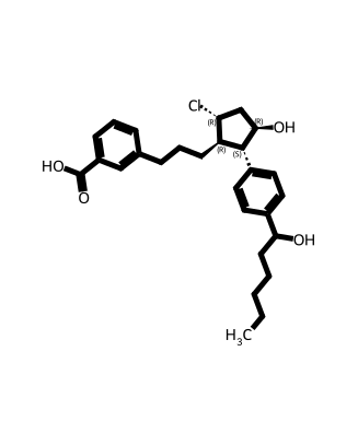 CCCCCC(O)c1ccc([C@@H]2[C@@H](CCCc3cccc(C(=O)O)c3)[C@H](Cl)C[C@H]2O)cc1